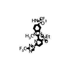 CCS(=O)(=O)c1ccc(-n2cnc(C(F)(F)F)n2)nc1-c1nc2cc(S(=N)(=O)C(F)(F)F)ccc2n1C